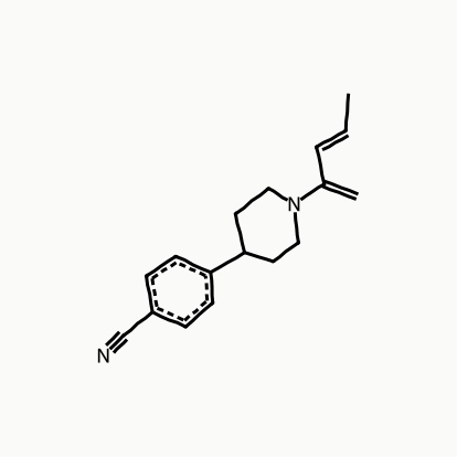 C=C(/C=C/C)N1CCC(c2ccc(C#N)cc2)CC1